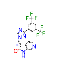 O=C1Nc2cnccc2/C1=C\n1cnc(-c2cc(C(F)(F)F)cc(C(F)(F)F)c2)n1